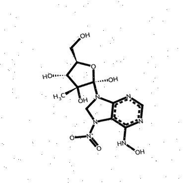 C[C@@]1(O)[C@H](O)[C@@H](CO)O[C@@]1(O)N1CN([N+](=O)[O-])c2c(NO)ncnc21